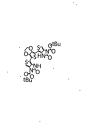 CC(C)(C)OC(=O)n1c(=O)[nH]c2c(-c3sc(-c4scc5c4[nH]c(=O)n5C(=O)OC(C)(C)C)c4c3OCCO4)scc21